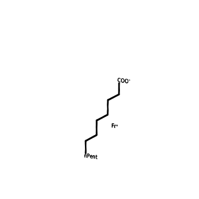 CCCCCCCCCCCC(=O)[O-].[Fr+]